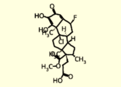 COC(=O)[C@@]1(CCC(=O)O)[C@H](C)C[C@H]2[C@@H]3C[C@H](F)C4=CC(=O)C(O)=C(O)[C@]4(C)[C@@]3(Cl)CC[C@@]21C